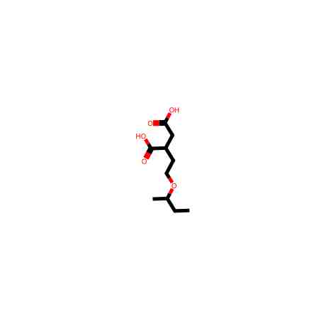 CCC(C)OCCC(CC(=O)O)C(=O)O